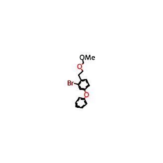 COCOCCc1ccc(Oc2ccccc2)cc1Br